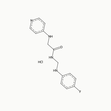 Cl.O=C(CNc1ccncc1)NCNc1ccc(F)cc1